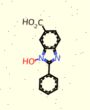 O=C(O)c1ccc2nc(-c3ccccc3)n(O)c2c1